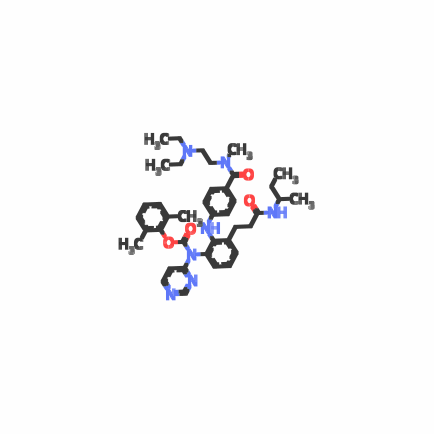 CCC(C)NC(=O)CCc1cccc(N(C(=O)Oc2c(C)cccc2C)c2ccncn2)c1Nc1ccc(C(=O)N(C)CCN(CC)CC)cc1